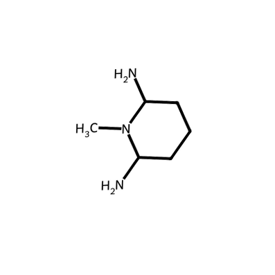 CN1C(N)CCCC1N